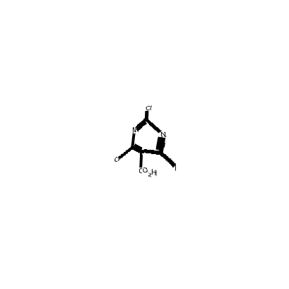 O=C(O)c1c(Cl)nc(Cl)nc1I